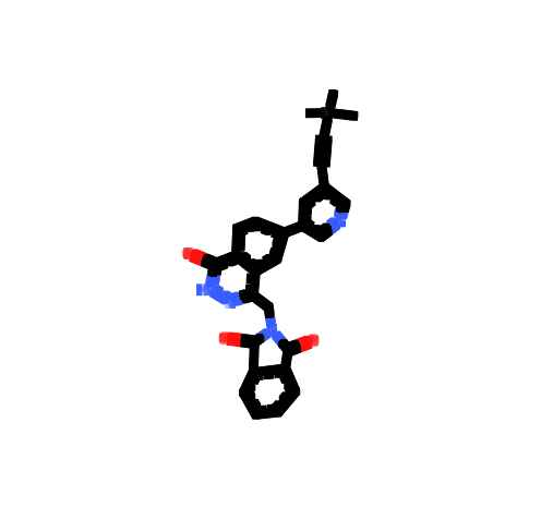 C[Si](C)(C)C#Cc1cncc(-c2ccc3c(=O)[nH]nc(CN4C(=O)c5ccccc5C4=O)c3c2)c1